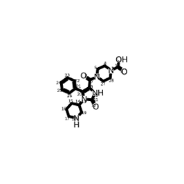 O=C(O)N1CCN(C(=O)c2[nH]c(=O)n(C3CCCNC3)c2-c2ccccc2)CC1